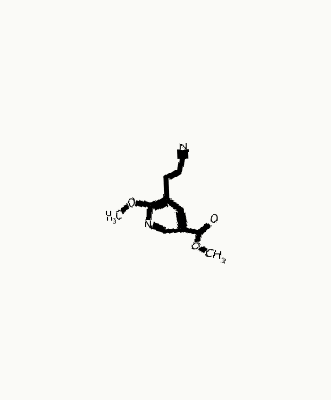 COC(=O)c1cnc(OC)c(/C=C/C#N)c1